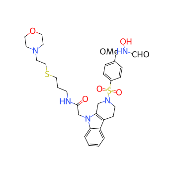 COc1ccc(S(=O)(=O)N2CCc3c(n(CC(=O)NCCCSCCN4CCOCC4)c4ccccc34)C2)cc1.O=CNO